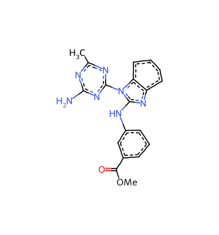 COC(=O)c1cccc(Nc2nc3ccccc3n2-c2nc(C)nc(N)n2)c1